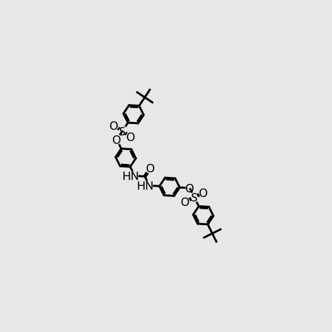 CC(C)(C)c1ccc(S(=O)(=O)Oc2ccc(NC(=O)Nc3ccc(OS(=O)(=O)c4ccc(C(C)(C)C)cc4)cc3)cc2)cc1